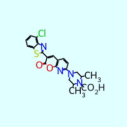 CC1CN(c2ccc3cc(-c4nc5c(Cl)cccc5s4)c(=O)oc3n2)CC(C)N1C(=O)O